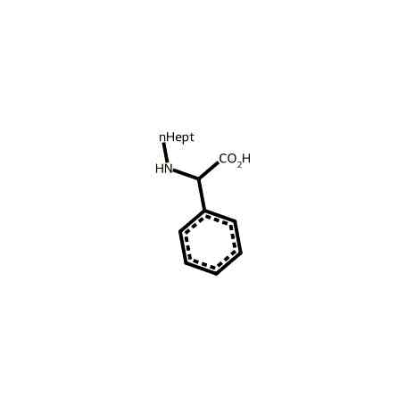 CCCCCCCNC(C(=O)O)c1ccccc1